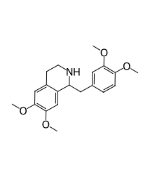 COc1ccc(CC2NCCc3cc(OC)c(OC)cc32)cc1OC